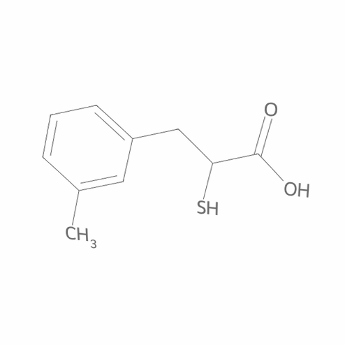 Cc1cccc(CC(S)C(=O)O)c1